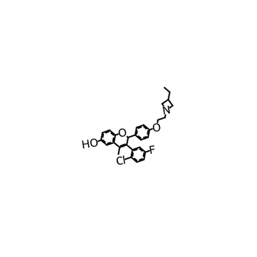 CCC1CN(CCOc2ccc(C3Oc4ccc(O)cc4C(C)=C3c3cc(F)ccc3Cl)cc2)C1